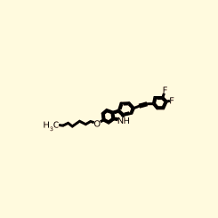 CCCCCCCOc1ccc2c(c1)[nH]c1cc(C#Cc3ccc(F)c(F)c3)ccc12